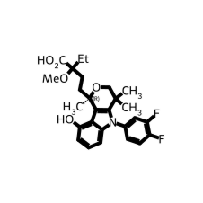 CCC(CC[C@@]1(C)OCC(C)(C)c2c1c1c(O)cccc1n2-c1ccc(F)c(F)c1)(OC)C(=O)O